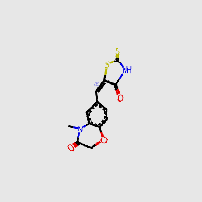 CN1C(=O)COc2ccc(/C=C3/SC(=S)NC3=O)cc21